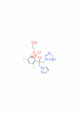 O=P(O)(OCCO)OC(CN1C=NCN1)(Cn1cccn1)c1ccc(F)cc1F